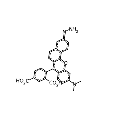 CN(C)c1ccc2c(-c3ccc(C(=O)O)cc3C(=O)O)c3ccc4c/c(=N/N)ccc4c3oc2c1